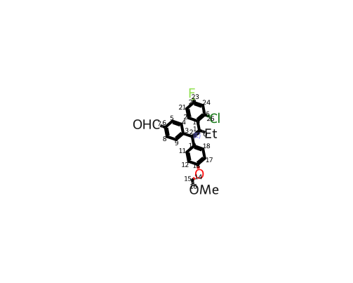 CC/C(=C(/c1ccc(C=O)cc1)c1ccc(OCOC)cc1)c1ccc(F)cc1Cl